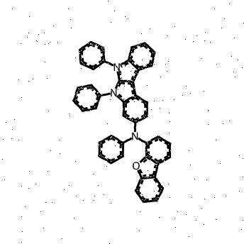 c1ccc(N(c2ccc3c4c5ccccc5n(-c5ccccc5)c4n(-c4ccccc4)c3c2)c2cccc3c2oc2ccccc23)cc1